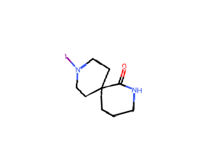 O=C1NCCCC12CCN(I)CC2